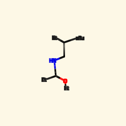 CCCCC(CC)CNC(CC)OCC